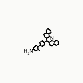 Cc1cc(N)ccc1-c1ccc(-c2c3ccc4ccccc4c3nc3c2ccc2ccccc23)cc1